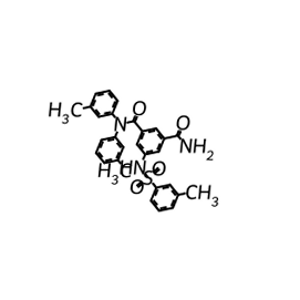 Cc1cccc(N(C(=O)c2cc(NS(=O)(=O)c3cccc(C)c3)cc(C(N)=O)c2)c2cccc(C)c2)c1